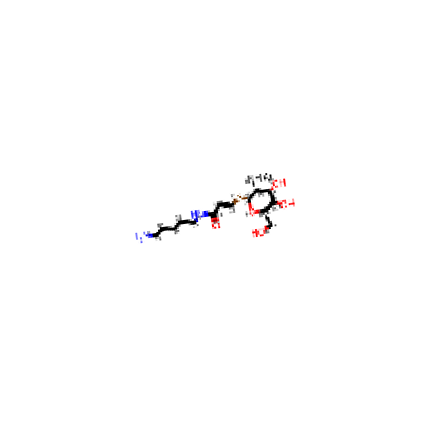 CC(=O)N[C@@H]1[C@@H](O)[C@@H](O)[C@@H](CO)O[C@H]1SC=CC(=O)NCCCCCN